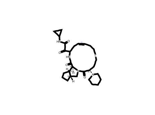 O=C(NC1CC1)C(=O)C1C/C=C\CCCCC[C@H](N2CCCCC2)C(=O)N2C[C@@H]3CCC[C@@H]3[C@H]2C(=O)N1